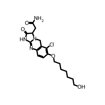 NC(=O)CC1C(=O)NC2=Nc3ccc(OCCCCCCCO)c(Cl)c3CN21